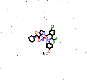 COc1ccc(NC(c2ccc(Cl)cc2CN2CCC[C@]2(C(N)=O)C(=O)[C@H](O)C2CCCCC2)C(F)F)cc1